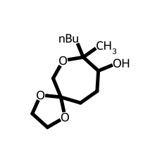 CCCCC1(C)OCC2(CCC1O)OCCO2